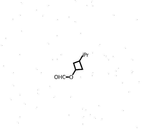 CC(C)C1CC(OC=O)C1